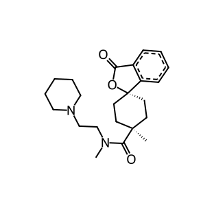 CN(CCN1CCCCC1)C(=O)[C@]1(C)CC[C@]2(CC1)OC(=O)c1ccccc12